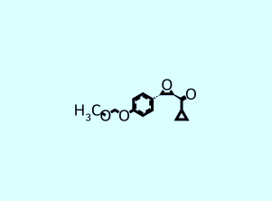 COCOc1ccc([C@@H]2O[C@H]2C(=O)C2CC2)cc1